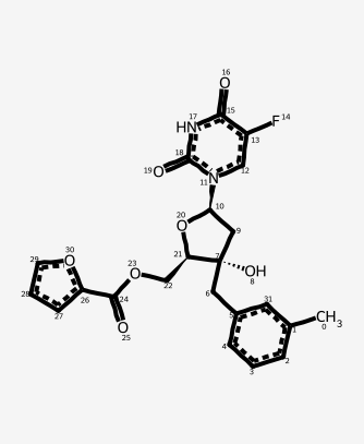 Cc1cccc(C[C@]2(O)C[C@H](n3cc(F)c(=O)[nH]c3=O)O[C@@H]2COC(=O)c2ccco2)c1